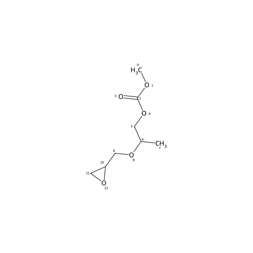 COC(=O)OCC(C)OCC1CO1